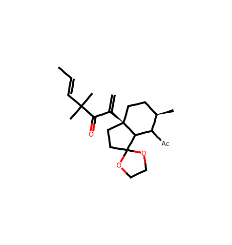 C=C(C(=O)C(C)(C)/C=C/C)[C@@]12CC[C@@H](C)C(C(C)=O)C1C1(CC2)OCCO1